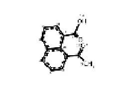 CC(=O)c1cccc2cccc(C(=O)O)c12